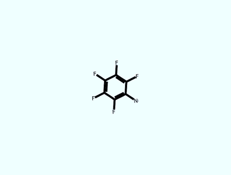 [N]c1c(F)c(F)c(F)c(F)c1F